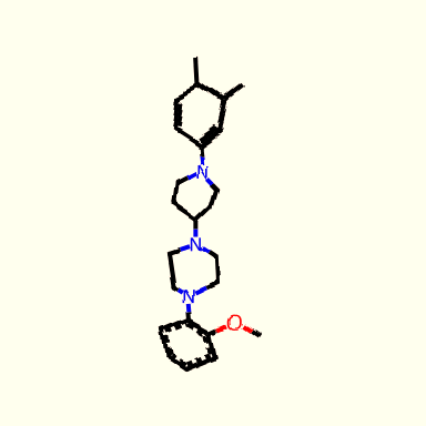 COc1ccccc1N1CCN(C2CCN(C3=CC(C)C(C)C=C3)CC2)CC1